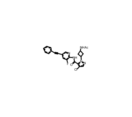 CC(=O)NC1CC(n2ncc(Cl)c2C(=O)Nc2ncc(C#Cc3ccccc3)cc2F)C1